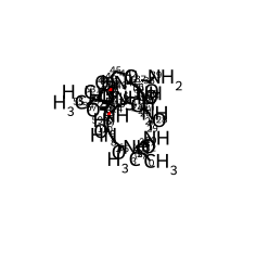 CC[C@H](C)[C@@H]1NC(=O)CNC(=O)[C@@H]2Cc3c([nH]c4ccccc34)SC[C@H](NC(=O)CNC1=O)C(=O)N[C@@H](CC(N)=O)C(=O)N1CCC[C@@H]1C(=O)N[C@@H]([C@@H](C)CC)C(=O)N2